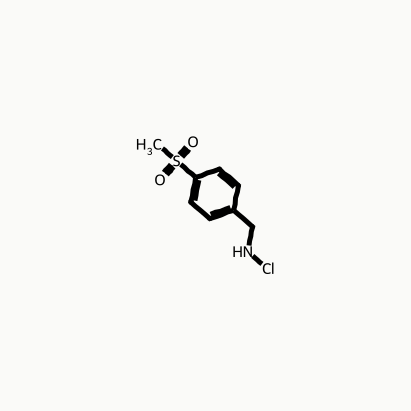 CS(=O)(=O)c1ccc(CNCl)cc1